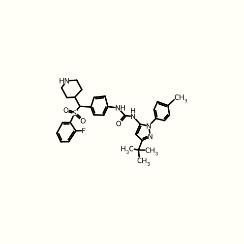 Cc1ccc(-n2nc(C(C)(C)C)cc2NC(=O)Nc2ccc(C(C3CCNCC3)S(=O)(=O)c3ccccc3F)cc2)cc1